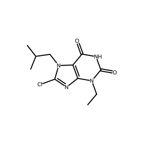 CCn1c(=O)[nH]c(=O)c2c1nc(Cl)n2CC(C)C